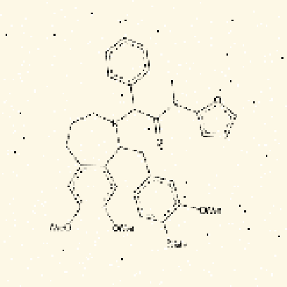 COc1ccc(CC2c3cc(OC)c(OC)cc3CCCN2C(C(=O)N(C)c2ccco2)c2ccccc2)cc1OC